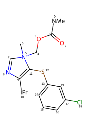 CNC(=O)OC[N+]1(C)C=NC(C(C)C)=C1Sc1cccc(Cl)c1